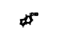 O=CC1=CCC2=CC=CC2=C1